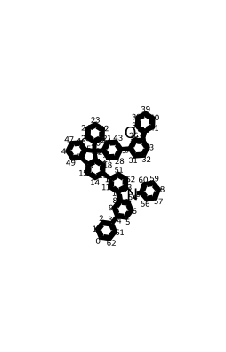 c1ccc(-c2ccc3c(c2)c2cc(-c4ccc5c(c4)C(c4ccccc4)(c4ccc(-c6cccc7c6oc6ccccc67)cc4)c4ccccc4-5)ccc2n3-c2ccccc2)cc1